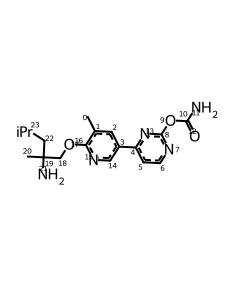 Cc1cc(-c2ccnc(OC(N)=O)n2)cnc1OCC(C)(N)CC(C)C